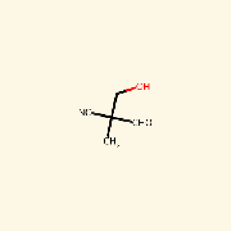 CC(C#N)(C=O)CO